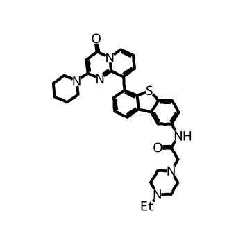 CCN1CCN(CC(=O)Nc2ccc3sc4c(-c5cccn6c(=O)cc(N7CCCCC7)nc56)cccc4c3c2)CC1